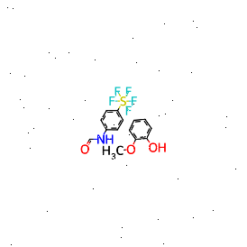 COc1ccccc1O.O=CNc1ccc(S(F)(F)(F)(F)F)cc1